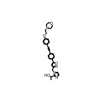 CC(O)c1nccn1Cc1cc(-c2ccc(C#Cc3ccc(OCCN4CCOCC4)cc3)cc2)on1